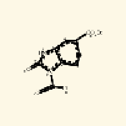 CCOC(=O)c1ccc2c(c1)[nH]c(=O)n2C(=O)Cl